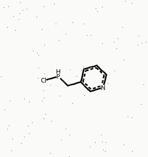 ClPCc1cccnc1